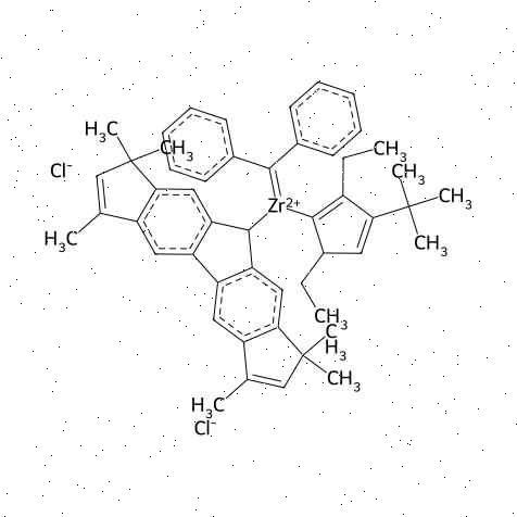 CCC1=[C]([Zr+2](=[C](c2ccccc2)c2ccccc2)[CH]2c3cc4c(cc3-c3cc5c(cc32)C(C)(C)C=C5C)C(C)=CC4(C)C)C(CC)C=C1C(C)(C)C.[Cl-].[Cl-]